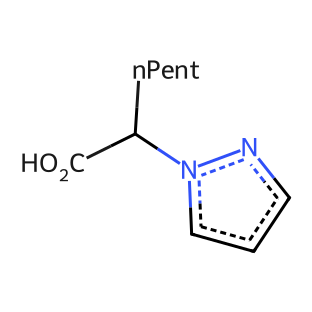 CCCCCC(C(=O)O)n1cccn1